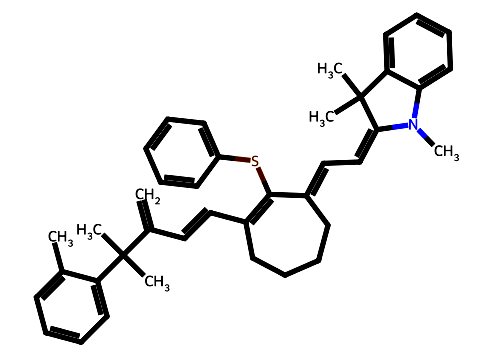 C=C(/C=C/C1=C(Sc2ccccc2)C(=C/C=C2/N(C)c3ccccc3C2(C)C)/CCCC1)C(C)(C)c1ccccc1C